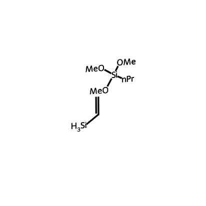 C=C[SiH3].CCC[Si](OC)(OC)OC